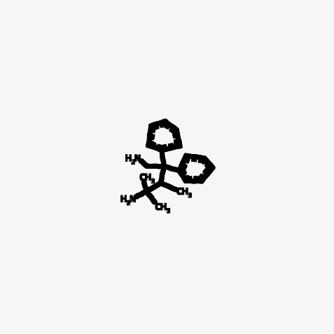 CC(C(C)(C)N)C(CN)(c1ccccc1)c1ccccc1